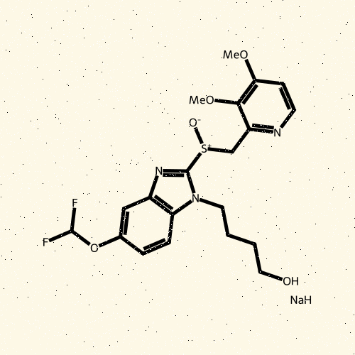 COc1ccnc(C[S+]([O-])c2nc3cc(OC(F)F)ccc3n2CCCCO)c1OC.[NaH]